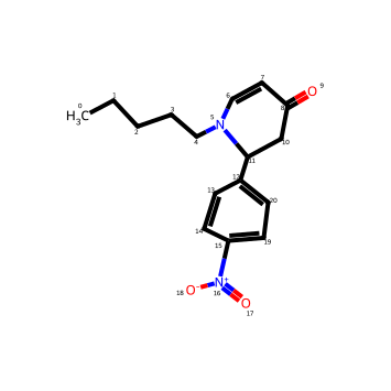 CCCCCN1C=CC(=O)CC1c1ccc([N+](=O)[O-])cc1